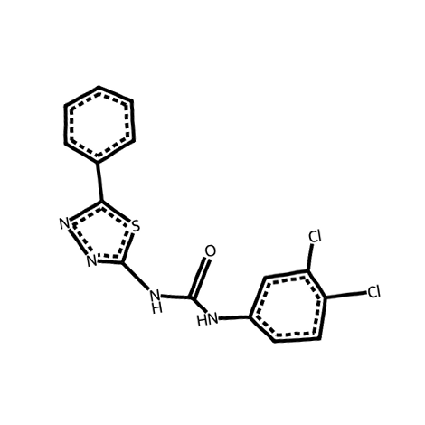 O=C(Nc1ccc(Cl)c(Cl)c1)Nc1nnc(-c2ccccc2)s1